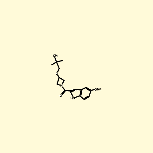 COc1ccc2[nH]c(C(=O)N3CC(OCC(C)(C)O)C3)cc2c1